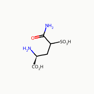 NC(=O)C(C[C@H](N)C(=O)O)S(=O)(=O)O